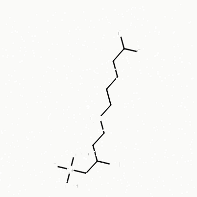 CCCCC[Si](F)(CCCCC)CC(C)CC[SiH2]CCCCC(F)F